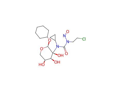 O=NN(CCCl)C(=O)N(C1CC1)[C@@]1(O)[C@H](OC2CCCCC2)OC[C@H](O)[C@@H]1O